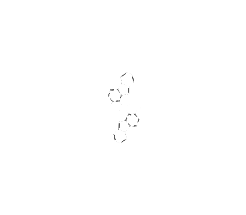 CCc1ccc2c(c1[Si](C)(C)c1c(CC)ccc3c1[C]=C1C=CC=CC13)[C]=C1C=CC=CC12